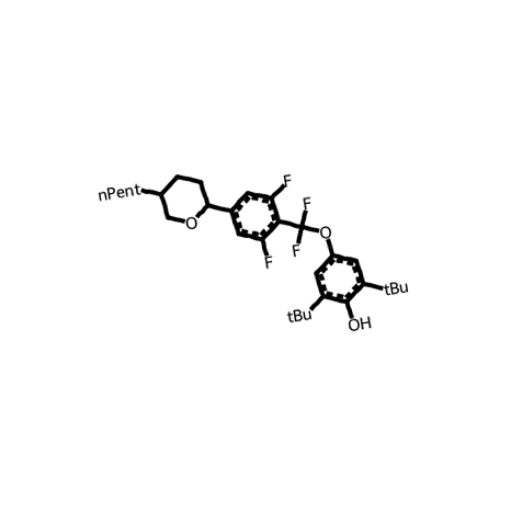 CCCCCC1CCC(c2cc(F)c(C(F)(F)Oc3cc(C(C)(C)C)c(O)c(C(C)(C)C)c3)c(F)c2)OC1